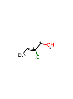 CCC=C(Cl)CO